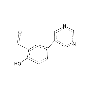 O=Cc1cc(-c2cncnc2)ccc1O